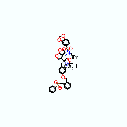 CC(C)CN(C[C@H]1OC(C)(C)N(C(=O)O)[C@@]1(Cc1ccc(OCc2ccccc2CS(=O)(=O)c2ccccc2)cc1)C1COC2OCCC21)S(=O)(=O)c1ccc2c(c1)OCO2